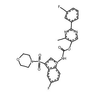 Cc1nc(-c2cccc(F)c2)ncc1OC(=O)Nn1cc(S(=O)(=O)N2CCOCC2)c2cc(F)ccc21